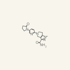 Cn1nc(C(N)=O)c2c1CCN(c1ccc(N3CCCC3=O)cn1)C2